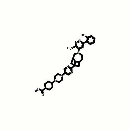 COC(=O)C1CCC(N2CCN(c3cnc(C45CC6CCN(c7cc(-c8ccccc8O)nnc7N)CC(C4)C65)nc3)CC2)CC1